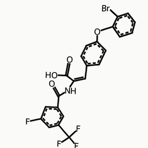 O=C(O)/C(=C\c1ccc(Oc2ccccc2Br)cc1)NC(=O)c1cc(F)cc(C(F)(F)F)c1